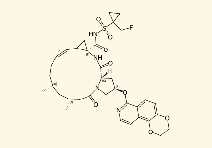 C[C@@H]1CC/C=C\C2C[C@@]2(C(=O)NS(=O)(=O)C2(CF)CC2)NC(=O)[C@@H]2C[C@@H](Oc3nccc4c5c(ccc34)OCCO5)CN2C(=O)C[C@H](C)C1